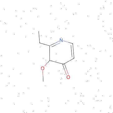 CCC1=NC=CC(=O)C1OC